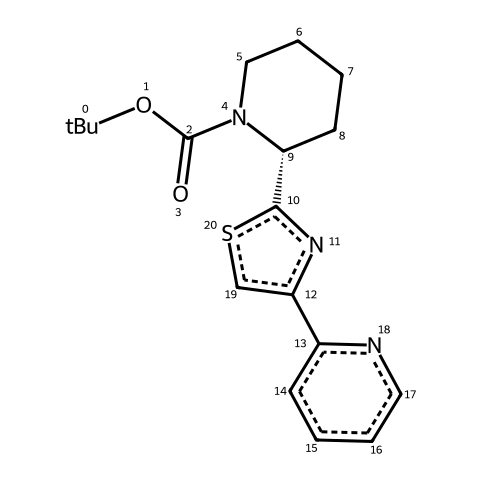 CC(C)(C)OC(=O)N1CCCC[C@@H]1c1nc(-c2ccccn2)cs1